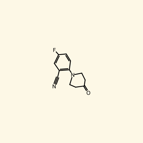 N#Cc1cc(F)ccc1N1CCC(=O)CC1